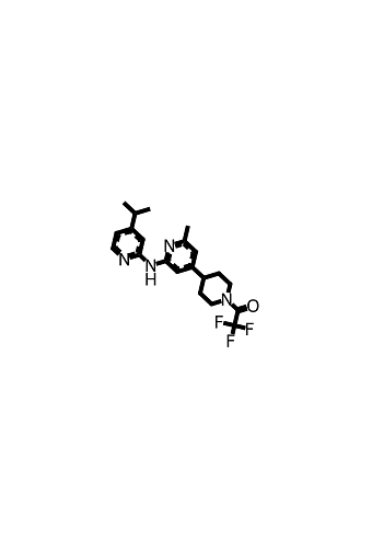 Cc1cc(C2CCN(C(=O)C(F)(F)F)CC2)cc(Nc2cc(C(C)C)ccn2)n1